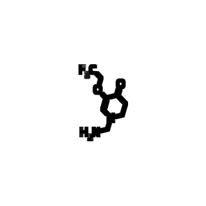 NCN1C=C(OCC(F)(F)F)C(=O)CC1